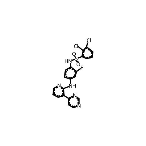 O=S(=O)(Nc1ccc(Nc2ncccc2-c2ccncn2)cc1F)c1cccc(Cl)c1Cl